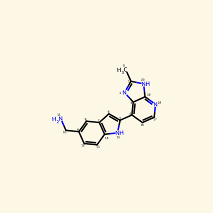 Cc1nc2c(-c3cc4cc(CN)ccc4[nH]3)ccnc2[nH]1